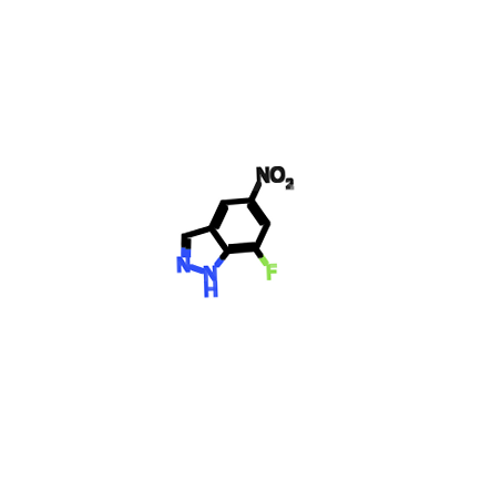 O=[N+]([O-])c1cc(F)c2[nH]ncc2c1